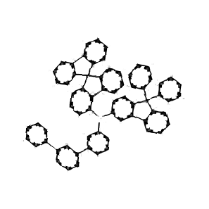 c1ccc(-c2cccc(-c3cccc(N(c4ccc5c(c4)-c4ccccc4C5(c4ccccc4)c4ccccc4)c4cccc5c4-c4ccccc4C54c5ccccc5-c5ccccc54)c3)c2)cc1